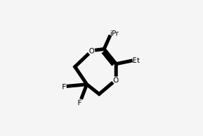 CCC1=C(C(C)C)OCC(F)(F)CO1